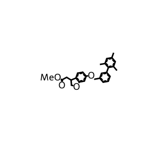 COC(=O)CC1COc2cc(OCc3cccc(-c4c(C)cc(C)cc4C)c3)ccc21